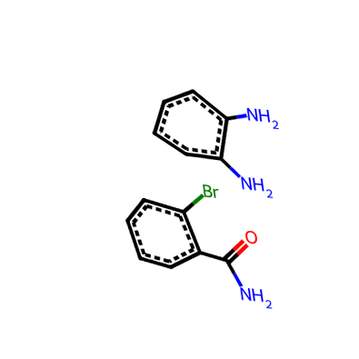 NC(=O)c1ccccc1Br.Nc1ccccc1N